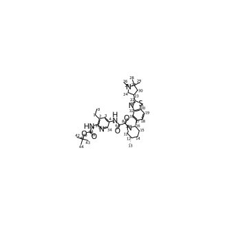 CCc1cc(NC(=O)C(=O)N2C[C@@H](C)CC[C@@H]2c2ccc3sc(C4CN(C)C(C)(C)C4)nc3c2)cnc1NC(=O)OC(C)(C)C